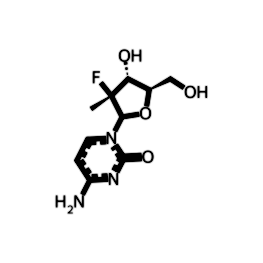 C[C@]1(F)C(n2ccc(N)nc2=O)O[C@H](CO)[C@H]1O